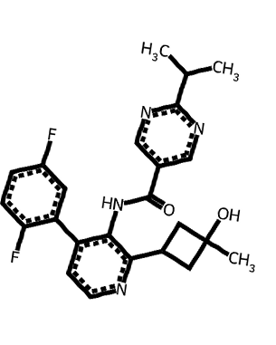 CC(C)c1ncc(C(=O)Nc2c(-c3cc(F)ccc3F)ccnc2C2CC(C)(O)C2)cn1